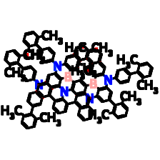 Cc1cccc(C)c1-c1ccc(N(c2ccc(-c3c(C)cccc3C)cc2)c2cc3c4c(c2)N(c2c(-c5ccccc5)cccc2-c2ccccc2)c2cc5c(cc2B4c2cc(-c4c(C)cccc4C)ccc2N3c2ccc(-c3c(C)cccc3C)cc2)B2c3cc(-c4c(C)cccc4C)ccc3N(c3ccc(-c4c(C)cccc4C)cc3)c3cc(-c4c(C)cccc4C)cc(c32)N5c2ccccc2)cc1